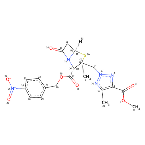 COC(=O)c1nn(C[C@]2(C)S[C@@H]3CC(=O)N3[C@H]2C(=O)OCc2ccc([N+](=O)[O-])cc2)nc1C